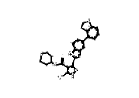 Cc1[nH]nc(-c2nc3cc(-c4cccc5c4CCO5)ccc3[nH]2)c1C(=O)NC1CCNCC1